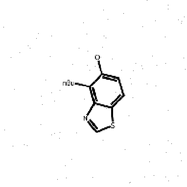 CCCCc1c([O])ccc2scnc12